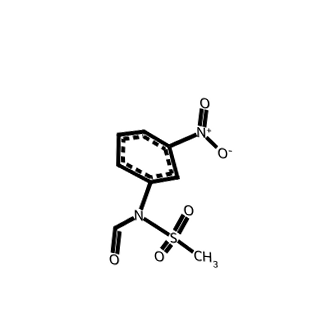 CS(=O)(=O)N(C=O)c1cccc([N+](=O)[O-])c1